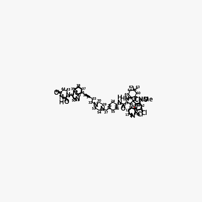 CNc1cc(Cl)ccc1[C@]1(C=O)[C@@H](c2ccnc(Cl)c2F)[C@H](C(=O)N[C@H]2CC[C@H](CN3CCN(CCC#Cc4cccn5c(N6CCC(=O)NC6=O)cnc45)CC3)CC2)NC12CCC(C)(C)CC2